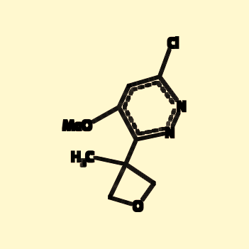 COc1cc(Cl)nnc1C1(C)COC1